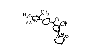 Cc1cc(C)c(N2CCN(C(=O)c3ccc(N4CCCCS4(=O)=O)cc3C#N)CC2)nc1C